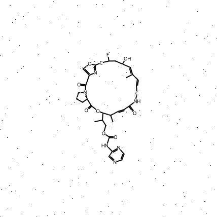 CC1=C\C(O)CC(F)Cc2nc(co2)C(=O)N2CCCC2C(=O)OC(C(C)COC(=O)Nc2cnccn2)C(C)/C=C/C(=O)NC\C=C\1